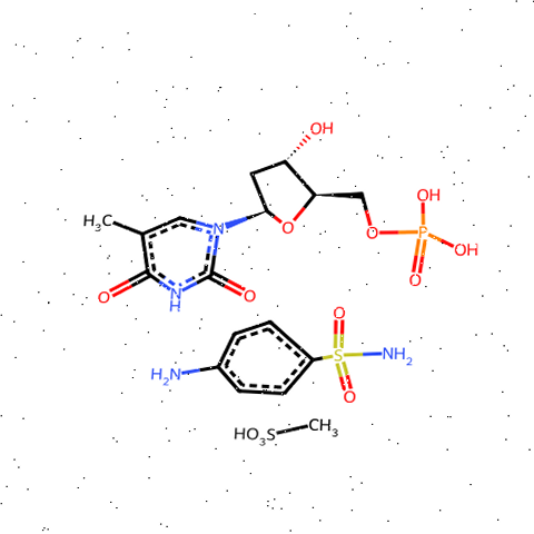 CS(=O)(=O)O.Cc1cn([C@H]2C[C@H](O)[C@@H](COP(=O)(O)O)O2)c(=O)[nH]c1=O.Nc1ccc(S(N)(=O)=O)cc1